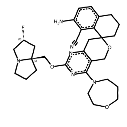 N#Cc1c(N)ccc2c1C1(CCC2)Cc2nc(OC[C@@]34CCCN3C[C@H](F)C4)nc(N3CCCOCC3)c2CO1